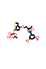 COc1cc(OC)cc(-c2nc(CCOc3ccc(C[C@H](OC(C)C)C(=O)O)c4sccc34)c(C)o2)c1